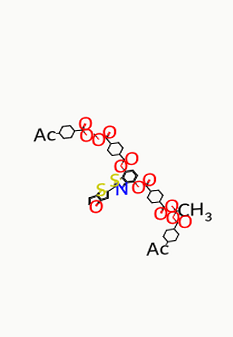 CC(=O)C1CCC(C(=O)OCOC(=O)C2CCC(C(=O)Oc3ccc(OC(=O)C4CCC(C(=O)OC(C)OC(=O)C5CCC(C(C)=O)CC5)CC4)c4nc(-c5cc6occc6s5)sc34)CC2)CC1